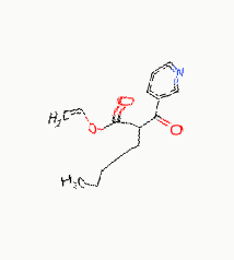 C=COC(=O)C(CCCC)C(=O)c1cccnc1